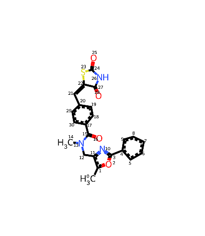 Cc1oc(-c2ccccc2)nc1CN(C)C(=O)c1ccc(C=C2SC(=O)NC2=O)cc1